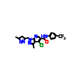 CC1=NN=C(Cn2nc(C)c3c(Cl)c(C(=O)Nc4ccc(C(F)(F)F)cc4)cnc32)C1